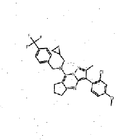 COc1ccc(-c2c(C)nn3c(N(Cc4ccc(C(F)(F)F)cc4)CC4CC4)c4c(nc23)CCC4)c(Cl)c1